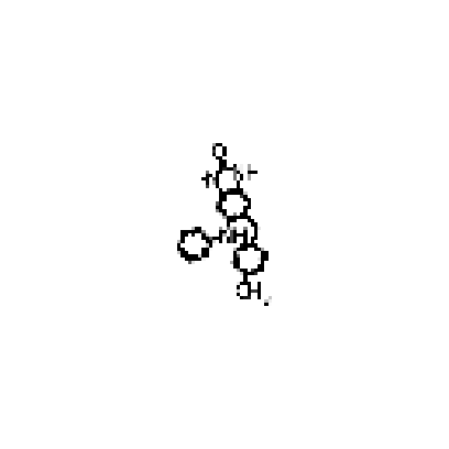 Cc1ccc(Cc2cc3c(cc2Nc2ccccc2)[N]C(=O)N3)cc1